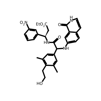 CCOC(=O)C[C@@H](NC(=O)C(Nc1ccc2cc[nH]c(=O)c2c1)c1cc(C)c(CCO)c(C)c1)c1cccc([N+](=O)[O-])c1